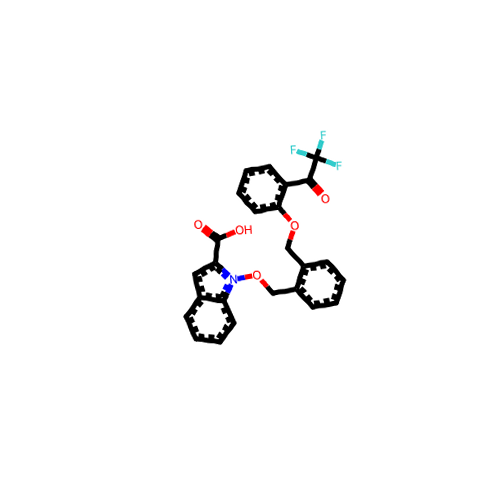 O=C(O)c1cc2ccccc2n1OCc1ccccc1COc1ccccc1C(=O)C(F)(F)F